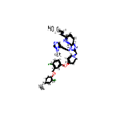 CCn1cncc1Cn1c(CN2CCC(Oc3ccc(F)c(COc4ccc(C#N)cc4F)c3)CC2)nc2ccc(/C=C/C(=O)O)nc21